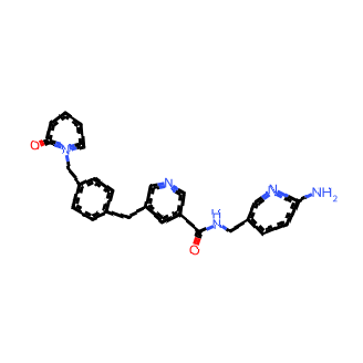 Nc1ccc(CNC(=O)c2cncc(Cc3ccc(Cn4ccccc4=O)cc3)c2)cn1